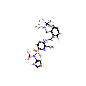 Cc1nc(S(=O)(=O)N(C(=O)O)c2cscn2)ccc1NCc1c(F)cccc1CN(C)C(C)(C)C